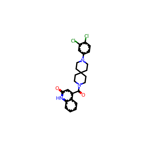 O=C(c1cc(=O)[nH]c2ccccc12)N1CCC2(CC1)CCN(c1ccc(Cl)c(Cl)c1)CC2